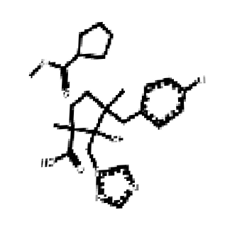 CC1(Cc2ccc(Cl)cc2)CCC(C)(C(=O)O)C1(O)Cn1cncn1.COC(=O)C1CCCC1